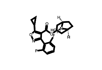 O=C(OC1C[C@H]2CC[C@@H](C1)N2C(=O)O)c1c(-c2c(F)cccc2F)noc1C1CC1